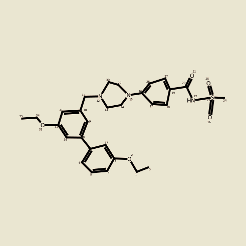 CCOc1cccc(-c2cc(CN3CCN(c4ccc(C(=O)NS(C)(=O)=O)cc4)CC3)cc(OCC)c2)c1